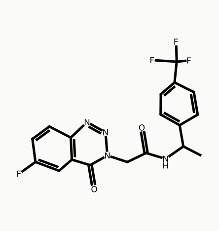 CC(NC(=O)Cn1nnc2ccc(F)cc2c1=O)c1ccc(C(F)(F)F)cc1